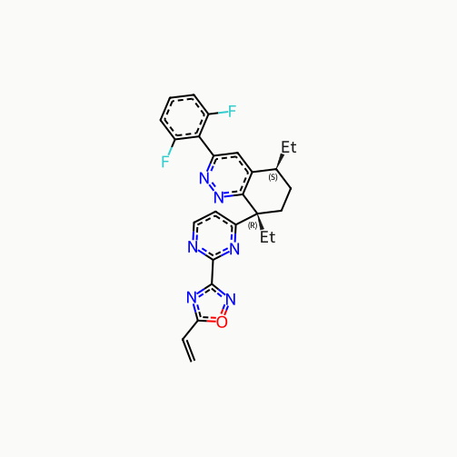 C=Cc1nc(-c2nccc([C@@]3(CC)CC[C@H](CC)c4cc(-c5c(F)cccc5F)nnc43)n2)no1